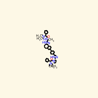 CCN(CC)[C@@H](C(=O)N[C@@H](C)c1nc2c([nH]1)CCCc1cc(-c3ccc(-c4cnc([C@@H]5CCCN5C(=O)[C@@H](c5ccccc5)N(CC)CC)[nH]4)cc3)ccc1-2)c1ccccc1